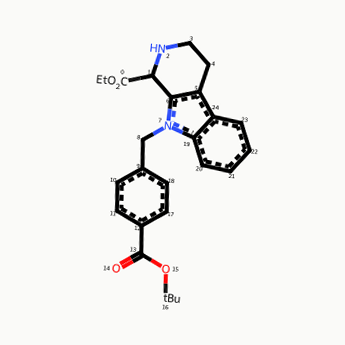 CCOC(=O)C1NCCc2c1n(Cc1ccc(C(=O)OC(C)(C)C)cc1)c1ccccc21